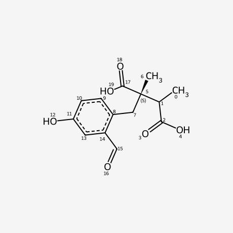 CC(C(=O)O)[C@](C)(Cc1ccc(O)cc1C=O)C(=O)O